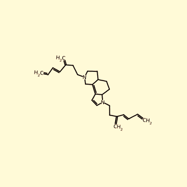 C=CC=CC(=C)CCN1CCC2CCC3C(=C2C1)C=CN3CCC(=C)C=CC=C